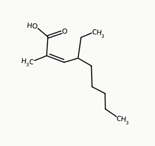 CCCCCC(C=C(C)C(=O)O)CC